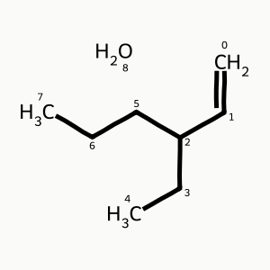 C=CC(CC)CCC.O